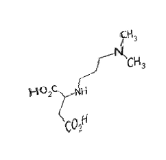 CN(C)CCCNC(CC(=O)O)C(=O)O